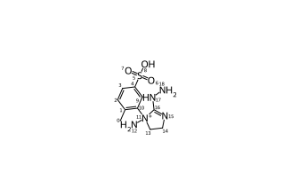 Cc1ccc(S(=O)(=O)O)cc1[N+]1(N)CCN=C1NN